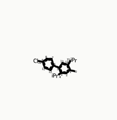 Cc1cc(C(C)C)c(-c2ccc(Cl)cc2)cc1C(C)C